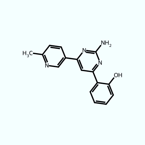 Cc1ccc(-c2cc(-c3ccccc3O)nc(N)n2)cn1